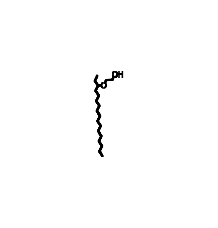 CCCCCCCCCCCCCCC(CC)OCCO